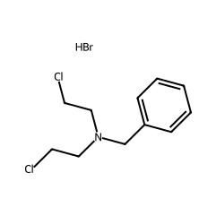 Br.ClCCN(CCCl)Cc1ccccc1